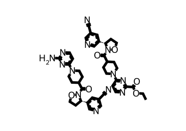 CCOC(=O)c1nccc(N2CCC(C(=O)N3OCC[C@H]3c3cncc(C#N)c3)CC2)n1.N#Cc1cncc([C@@H]2CCON2C(=O)C2CCN(c3ccnc(N)n3)CC2)c1